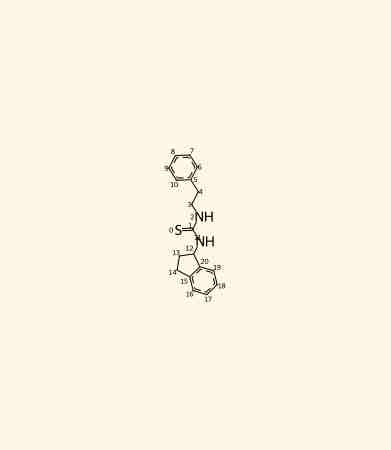 S=C(NCCc1ccccc1)NC1CCc2ccccc21